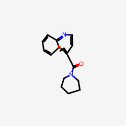 O=C(C1=C2C=CN=C3C=CC=CC32SC1)N1CCCCC1